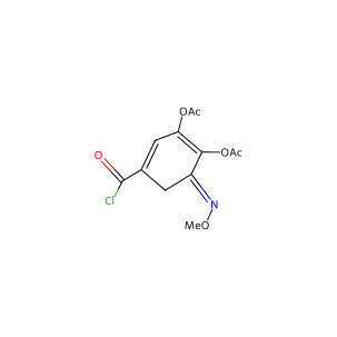 CON=C1CC(C(=O)Cl)=CC(OC(C)=O)=C1OC(C)=O